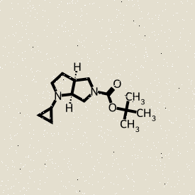 CC(C)(C)OC(=O)N1C[C@@H]2CCN(C3CC3)[C@@H]2C1